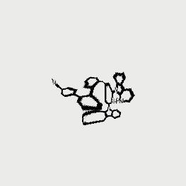 N#CC1C=CC(C2=CC=CCC2C2=C(C3=CC(N4C5=C(CCCC5)C5C=CC=CC54)NC(n4c5c(c6ccccc64)C=CCN5)C3)CCC=C2)=CC1